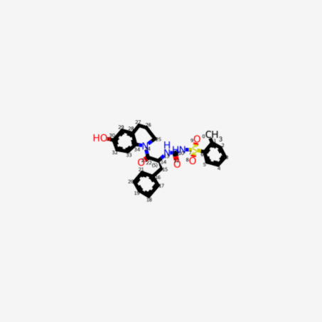 Cc1ccccc1S(=O)(=O)NC(=O)N[C@@H](Cc1ccccc1)C(=O)N1CCCc2cc(O)ccc21